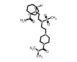 CN(C)C(=O)N1CCN(CCN(CCN2[C@@H]3C[CH]C[C@@]2(C(N)=O)CC3)S(C)(=O)=O)CC1